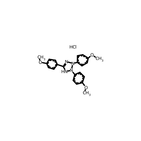 COc1ccc(C2=NN(c3ccc(OC)cc3)N(c3ccc(OC)cc3)N2)cc1.Cl